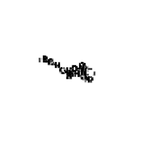 CCCCOCCOCCOCCS(=O)(=O)Nc1cccc(C(CN(C)C(=O)Cc2ccccn2)N2CCCC2)c1